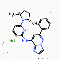 C[C@H]1CC[C@H](C)N1c1cccc(Nc2cc(-c3ccccc3)nn3ccnc23)n1.Cl